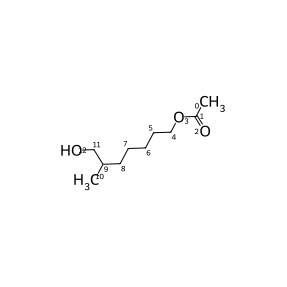 CC(=O)OCCCCCC(C)CO